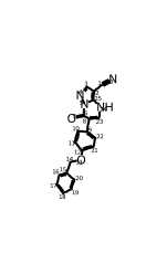 N#Cc1cnn2c(=O)c(-c3ccc(OCc4ccccc4)cc3)c[nH]c12